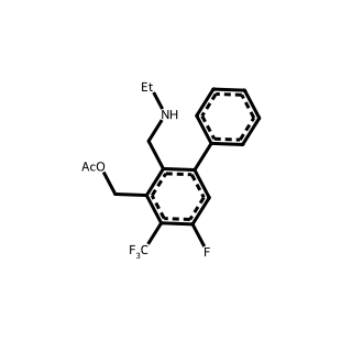 CCNCc1c(-c2ccccc2)cc(F)c(C(F)(F)F)c1COC(C)=O